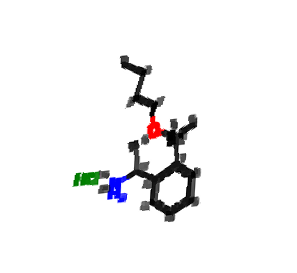 CCCC[O][Sn]([CH3])[c]1ccccc1C(C)N.Cl